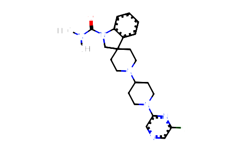 CN(C)C(=O)N1CC2(CCN(C3CCN(c4cncc(Cl)n4)CC3)CC2)c2ccccc21